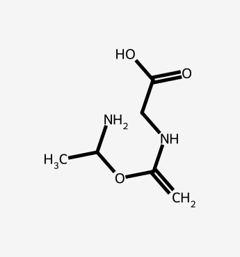 C=C(NCC(=O)O)OC(C)N